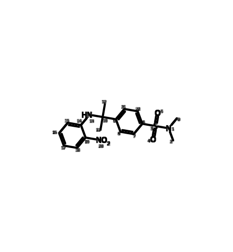 CN(C)S(=O)(=O)c1ccc(C(C)(C)Nc2ccccc2[N+](=O)[O-])cc1